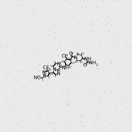 N#CCn1cc(-c2cnc3c(Nc4ccc(C(=O)N5CCC(NC(N)=O)CC5)c(Cl)c4)nccn23)c(C(F)(F)F)n1